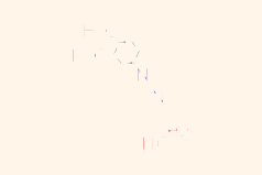 Cc1ccc(N2CCN(CCC(=O)O)CC2)cc1C